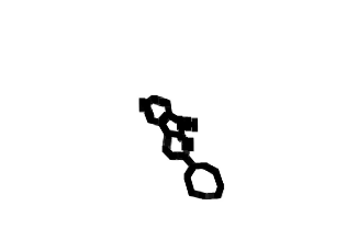 c1cc2[nH]c3nc(C4CCCCCCC4)ccc3c2cn1